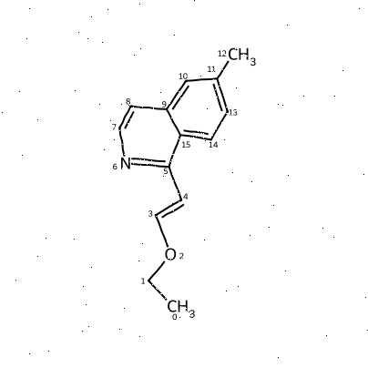 CCO/C=C/c1nccc2cc(C)ccc12